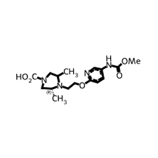 COC(=O)Nc1ccc(OCCN2C(C)CN(C(=O)O)C[C@H]2C)nc1